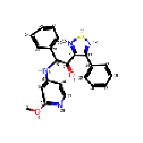 COc1cc(NC(C(=O)c2nsnc2-c2ccccc2)c2ccccc2)ccn1